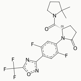 CC1(C)CCCN1C(=O)[C@@H]1CCC(=O)N1c1cc(F)c(-c2noc(C(F)(F)F)n2)cc1F